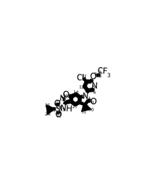 O=C1N(c2cnc(OCC(F)(F)F)c(Cl)c2)c2cc3onc(NS(=O)(=O)C4CC4)c3cc2C12CC2